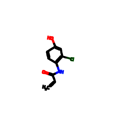 C=CC(=O)Nc1ccc(O)cc1Cl